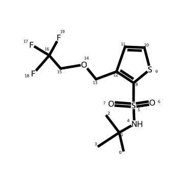 CC(C)(C)NS(=O)(=O)c1sccc1COCC(F)(F)F